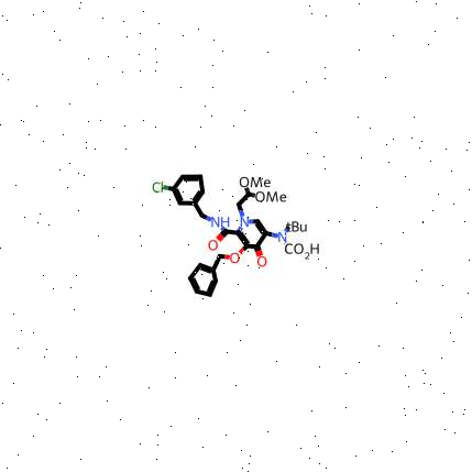 COC(Cn1cc(N(C(=O)O)C(C)(C)C)c(=O)c(OCc2ccccc2)c1C(=O)NCc1cccc(Cl)c1)OC